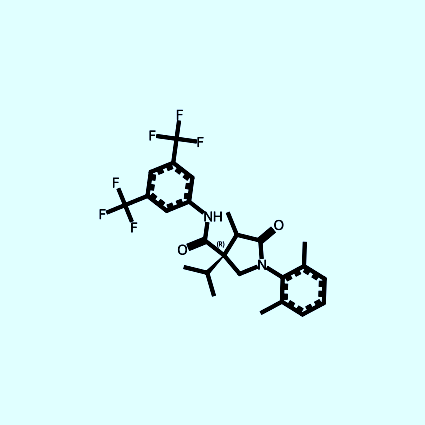 Cc1cccc(C)c1N1C[C@@](C(=O)Nc2cc(C(F)(F)F)cc(C(F)(F)F)c2)(C(C)C)C(C)C1=O